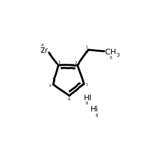 CCC1=[C]([Zr])CC=C1.I.I